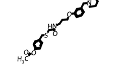 CC(=O)Oc1ccc(CSCC(=O)NCCCOc2cccc(CN3CCCCC3)c2)cc1